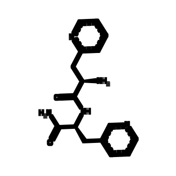 NC(=O)[C@H](Cc1cccnc1)NC(=O)[C@H](N)Cc1ccccn1